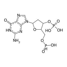 Nc1nc2c(ncn2C2CC(OP(=O)(O)O)C(CO[PH](=O)O)O2)c(=O)[nH]1